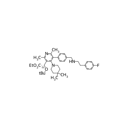 CCOC(=O)[C@@H](OC(C)(C)C)c1c(C)nc(C)c(-c2ccc(CNCCc3ccc(F)cc3)cc2)c1N1CCC(C)(C)CC1